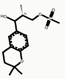 C[C@H](COS(C)(=O)=O)C(O)c1ccc2c(c1)CCC(C)(C)O2